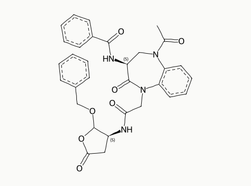 CC(=O)N1C[C@H](NC(=O)c2ccccc2)C(=O)N(CC(=O)N[C@H]2CC(=O)OC2OCc2ccccc2)c2ccccc21